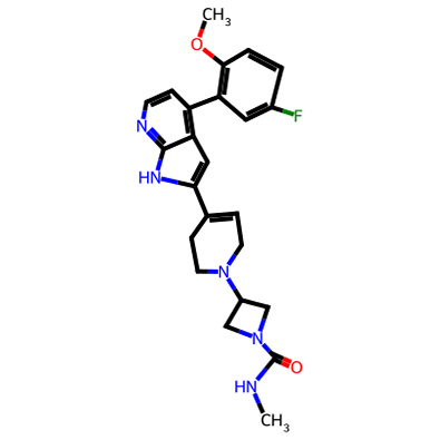 CNC(=O)N1CC(N2CC=C(c3cc4c(-c5cc(F)ccc5OC)ccnc4[nH]3)CC2)C1